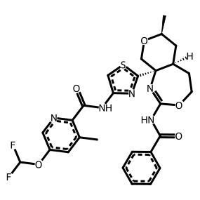 Cc1cc(OC(F)F)cnc1C(=O)Nc1csc([C@]23CO[C@@H](C)C[C@H]2CCOC(NC(=O)c2ccccc2)=N3)n1